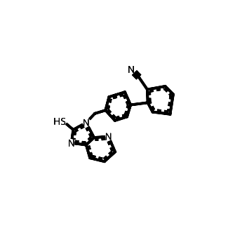 N#Cc1ccccc1-c1ccc(Cn2c(S)nc3cccnc32)cc1